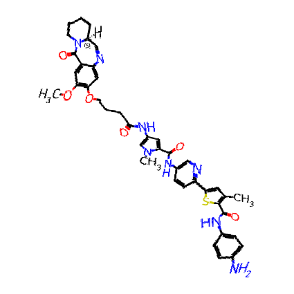 COc1cc2c(cc1OCCCC(=O)Nc1cc(C(=O)Nc3ccc(-c4cc(C)c(C(=O)Nc5ccc(N)cc5)s4)nc3)n(C)c1)N=C[C@@H]1CCCCN1C2=O